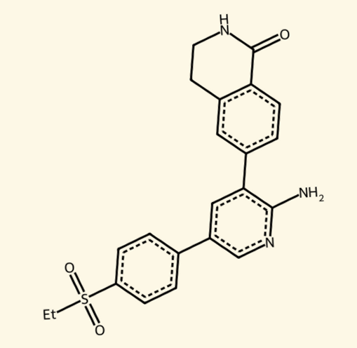 CCS(=O)(=O)c1ccc(-c2cnc(N)c(-c3ccc4c(c3)CCNC4=O)c2)cc1